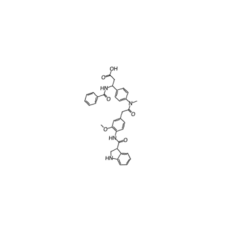 COc1cc(CC(=O)N(C)c2ccc(C(CC(=O)O)NC(=O)c3ccccc3)cc2)ccc1NC(=O)C1CNc2ccccc21